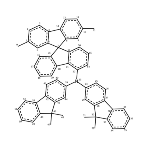 Cc1ccc2c(c1)C1(c3cc(C)ccc3-2)c2ccccc2-c2c(N(c3ccc4c(c3)C(C)(C)c3ccccc3-4)c3ccc4c(c3)C(C)(C)c3ccccc3-4)cccc21